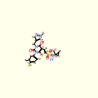 CC1CC(n2c(=O)n(Cc3cnn(C)c3)c(=O)c3cc(S(=O)(=O)NC4(C)CC4)sc32)=CC=C1F